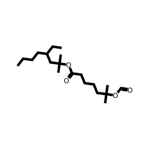 CCCCC(CC)CC(C)(C)OC(=O)CCCCC(C)(C)OC=O